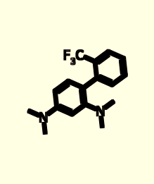 CN(C)c1ccc(-c2ccccc2C(F)(F)F)c(N(C)C)c1